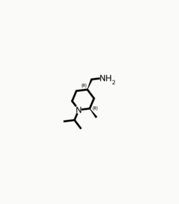 CC(C)N1CC[C@@H](CN)C[C@H]1C